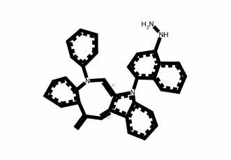 C=C1/C=c2\c(n(-c3ccc(NN)c4ccccc34)c3ccccc23)=C/N(c2ccccc2)c2ccccc21